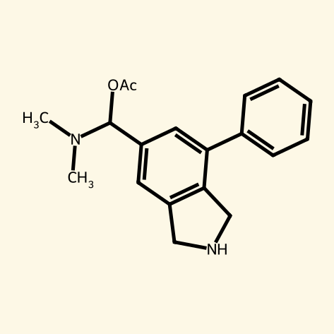 CC(=O)OC(c1cc2c(c(-c3ccccc3)c1)CNC2)N(C)C